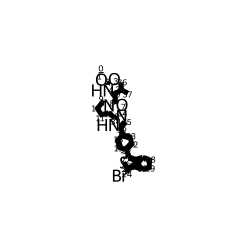 COC(=O)N[C@H](C(=O)N1CCCC1c1ncc(-c2ccc(-c3sc(Br)c4c3C3CCC4C3)cc2)[nH]1)C(C)C